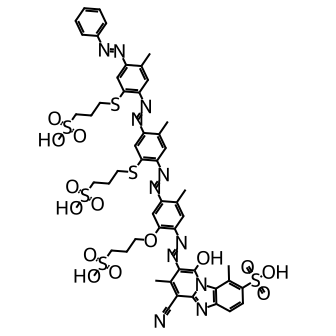 Cc1cc(N=Nc2cc(SCCCS(=O)(=O)O)c(N=Nc3cc(OCCCS(=O)(=O)O)c(N=Nc4c(C)c(C#N)c5nc6ccc(S(=O)(=O)O)c(C)c6n5c4O)cc3C)cc2C)c(SCCCS(=O)(=O)O)cc1N=Nc1ccccc1